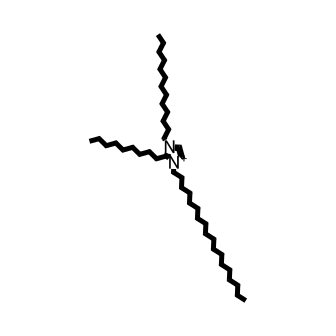 CCCCCCCCCCCCCCCCCC[n+]1ccn(CCCCCCCCCCCCC)c1CCCCCCCCC